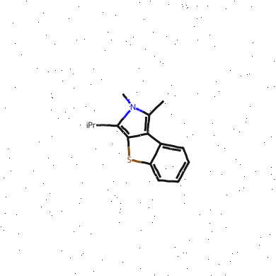 Cc1c2c(sc3ccccc32)c(C(C)C)n1C